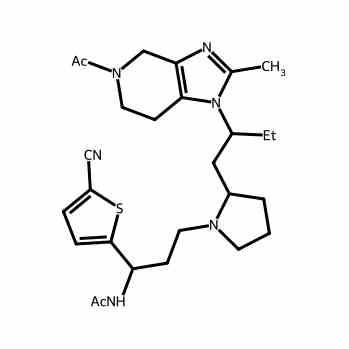 CCC(CC1CCCN1CCC(NC(C)=O)c1ccc(C#N)s1)n1c(C)nc2c1CCN(C(C)=O)C2